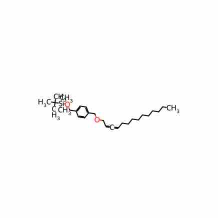 CCCCCCCCCCC=C=CCOCc1ccc(CO[Si](C)(C)C(C)(C)C)cc1